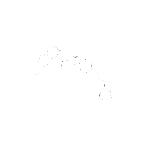 COc1ccc2ncc(Cl)c([C@H](O)CCC3(C(=O)O)CCN(CCSc4cccnc4)CC3)c2c1